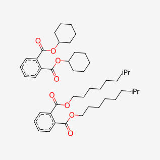 CC(C)CCCCCCOC(=O)c1ccccc1C(=O)OCCCCCCC(C)C.O=C(OC1CCCCC1)c1ccccc1C(=O)OC1CCCCC1